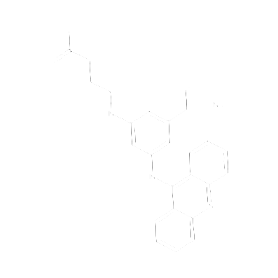 O=C([O-])CCCNc1cc(CO)cc(Nc2c3ccccc3nc3ccccc23)c1.[Na+]